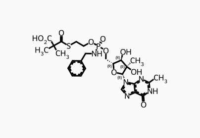 Cc1nc2c(ncn2[C@@H]2O[C@H](COP(=O)(NCc3ccccc3)OCCSC(=O)C(C)(C)C(=O)O)[C@@H](O)[C@@]2(C)O)c(=O)[nH]1